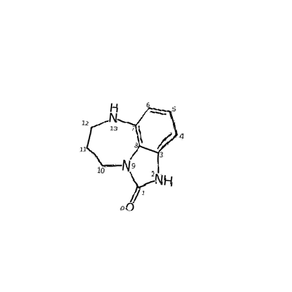 O=c1[nH]c2cccc3c2n1CCCN3